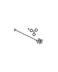 Fc1ccc([S+](c2ccccc2)c2ccccc2)cc1.O=C(OCCCCCCCCCCCCCCCCCCBr)C(F)(F)S(=O)(=O)[O-]